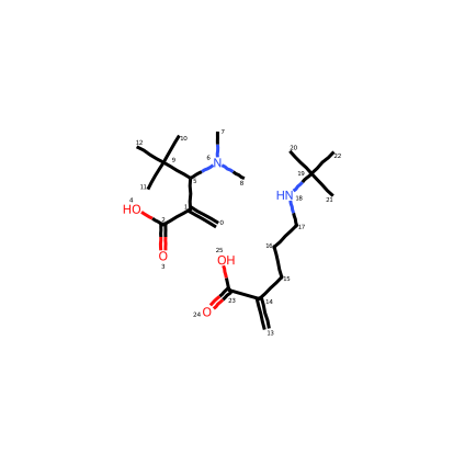 C=C(C(=O)O)C(N(C)C)C(C)(C)C.C=C(CCCNC(C)(C)C)C(=O)O